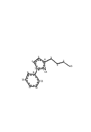 CCCCc1c[c]n(-c2ccccc2)n1